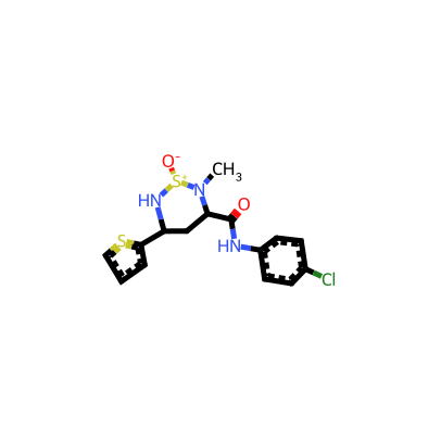 CN1C(C(=O)Nc2ccc(Cl)cc2)CC(c2cccs2)N[S+]1[O-]